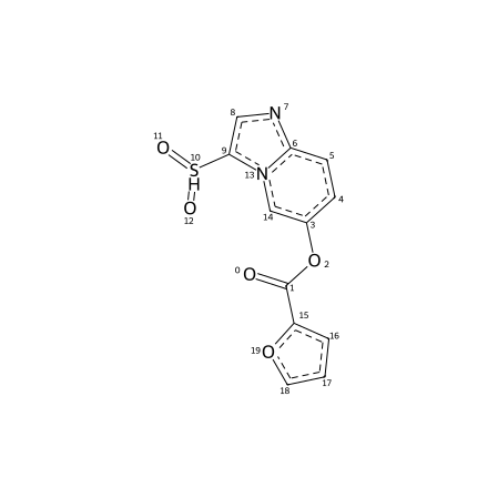 O=C(Oc1ccc2ncc([SH](=O)=O)n2c1)c1ccco1